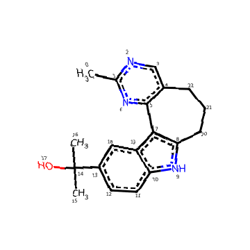 Cc1ncc2c(n1)-c1c([nH]c3ccc(C(C)(C)O)cc13)CCC2